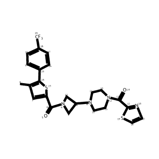 Cc1cc(C(=O)N2CC(N3CCN(C(=O)c4nccs4)CC3)C2)sc1-c1ccc(C(F)(F)F)cc1